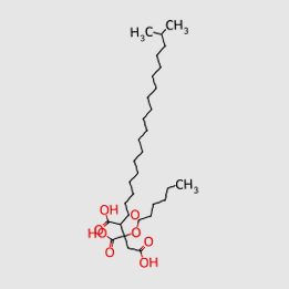 CCCCCC(=O)OC(CC(=O)O)(C(=O)O)C(CCCCCCCCCCCCCCCCCC(C)C)C(=O)O